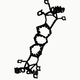 COC1(OC)C2(Cl)C(Cl)=C(Cl)C1(Cl)c1cc3cc4cc5c(cc4cc3cc12)C1(Cl)C(Cl)=C(Cl)C5(Cl)C1(OC)OC